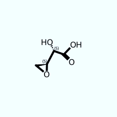 O=C(O)[C@@H](O)[C@@H]1CO1